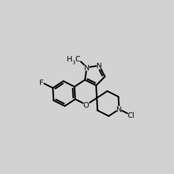 Cn1ncc2c1-c1cc(F)ccc1OC21CCN(Cl)CC1